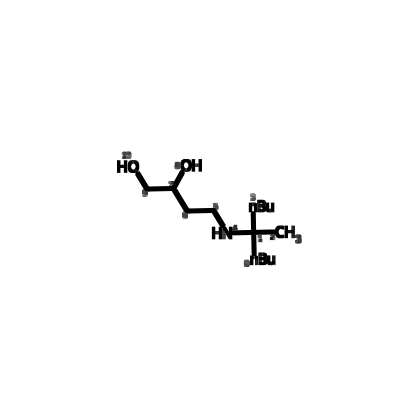 CCCCC(C)(CCCC)NCCC(O)CO